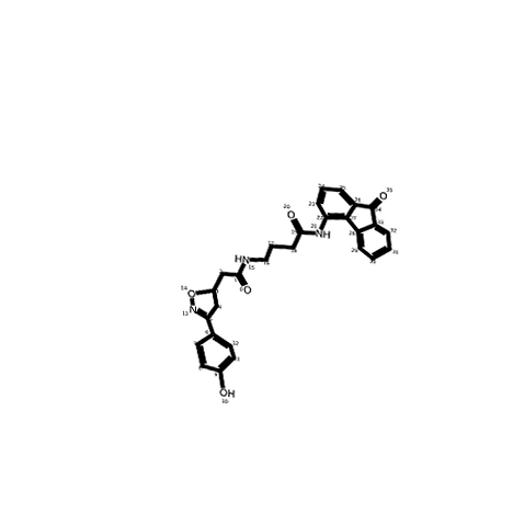 O=C(CC1CC(c2ccc(O)cc2)=NO1)NCCCC(=O)Nc1cccc2c1-c1ccccc1C2=O